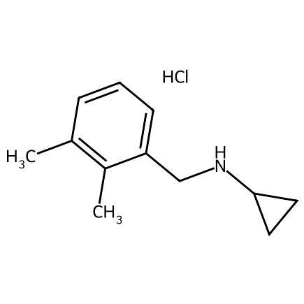 Cc1cccc(CNC2CC2)c1C.Cl